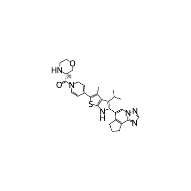 Cc1c(C2=CCN(C(=O)[C@H]3COCCN3)C=C2)sc2[nH]c(-c3cn4ncnc4c4c3CCC4)c(C(C)C)c12